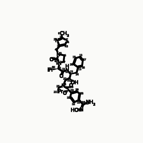 Cc1nc(CN2CCN([C@H](C(=O)N[C@@H](Cc3ccccc3)[C@H](O)CN(CC(C)C)S(=O)(=O)c3ccc(/C(N)=N\O)cc3)C(C)C)C2=O)cs1